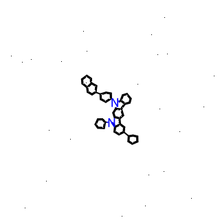 c1ccc(-c2ccc3c(c2)c2cc4c5ccccc5n(-c5ccc(-c6ccc7ccccc7c6)cc5)c4cc2n3-c2ccccc2)cc1